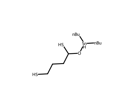 CCC[CH2][SnH]([CH2]CCC)[O]C(S)CCCS